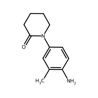 Cc1cc(N2CCCCC2=O)ccc1N